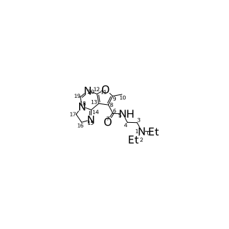 CCN(CC)CCNC(=O)c1c(C)oc2c1C1=NCCN1C=N2